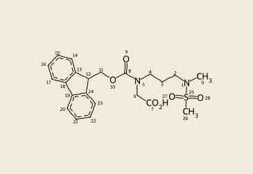 CN(CCCN(CC(=O)O)C(=O)OCC1c2ccccc2-c2ccccc21)S(C)(=O)=O